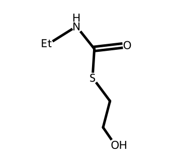 CCNC(=O)SCCO